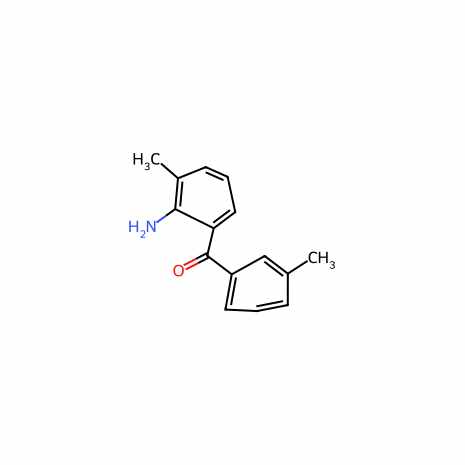 Cc1cccc(C(=O)c2cccc(C)c2N)c1